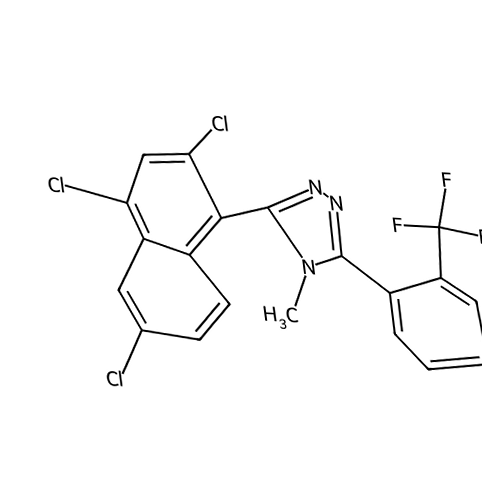 Cn1c(-c2ccccc2C(F)(F)F)nnc1-c1c(Cl)cc(Cl)c2cc(Cl)ccc12